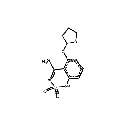 NC1=NS(=O)(=O)Nc2cccc(OC3CCCO3)c21